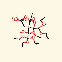 CCOC(OCC)C(OC)(OCC)C(CC(=O)O)(C(=O)O)C(OC)(OCC)C(OCC)(OCC)OCC